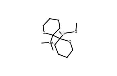 CO[SiH2]C1(C2([SiH](C)C)CCCCO2)CCCCO1